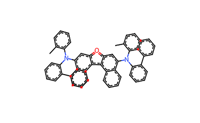 Cc1ccccc1N(c1ccccc1-c1ccccc1)c1cc2oc3cc(N(c4ccccc4C)c4ccccc4-c4ccccc4)c4ccccc4c3c2c2ccccc12